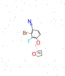 N#Cc1ccc(OC[C@@H]2CCCO2)c(F)c1Br